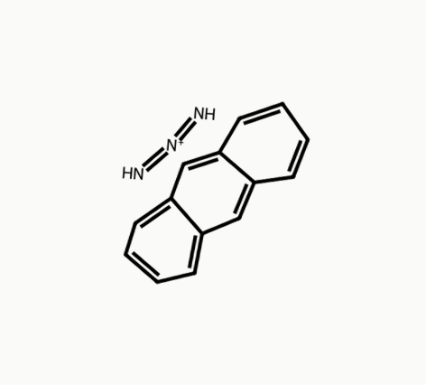 N=[N+]=N.c1ccc2cc3ccccc3cc2c1